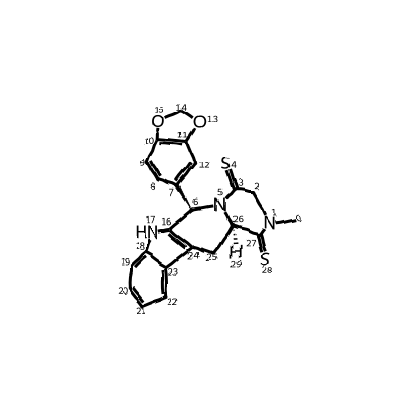 CN1CC(=S)N2[C@H](c3ccc4c(c3)OCO4)c3[nH]c4ccccc4c3C[C@@H]2C1=S